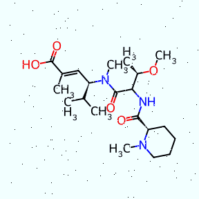 CO[C@H](C)C(NC(=O)[C@H]1CCCCN1C)C(=O)N(C)[C@H](/C=C(\C)C(=O)O)C(C)C